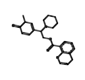 CC1C=C(C(COC(=O)c2cccc3c2OC=CC3)N2CCCCC2)C=CC1=O